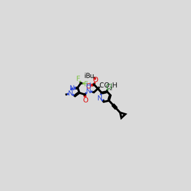 CCC(C)OC(=O)C(CNC(=O)c1cn(C)nc1C(F)F)(C(=O)O)c1ncc(C#CC2CC2)cc1Cl